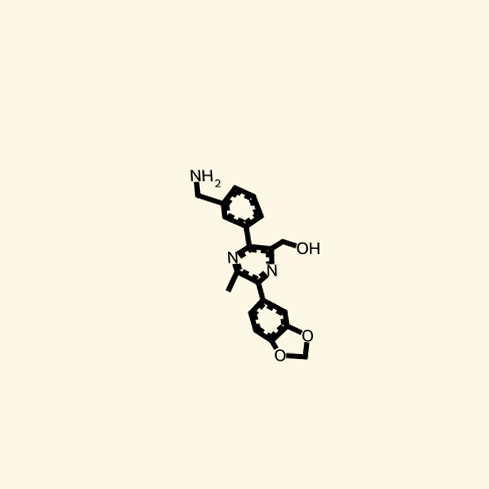 Cc1nc(-c2cccc(CN)c2)c(CO)nc1-c1ccc2c(c1)OCO2